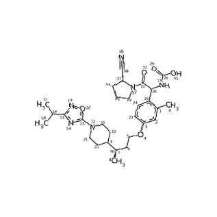 Cc1cc(OCC[C@@H](C)C2CCN(c3nc(C(C)C)no3)CC2)ccc1C(NC(=O)O)C(=O)N1CCCC1C#N